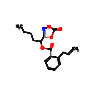 C=CCc1ccccc1C(=O)OC(CCCC)c1noc(=O)o1